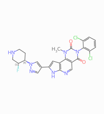 Cn1c(=O)n(-c2c(Cl)cccc2Cl)c(=O)c2cnc3[nH]c(-c4cnn([C@@H]5CCNC[C@@H]5F)c4)cc3c21